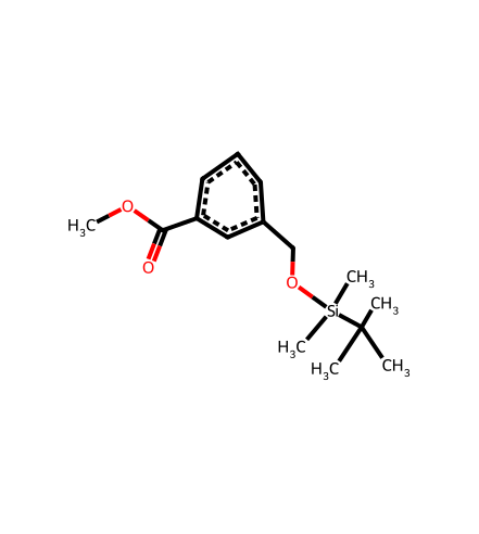 COC(=O)c1cccc(CO[Si](C)(C)C(C)(C)C)c1